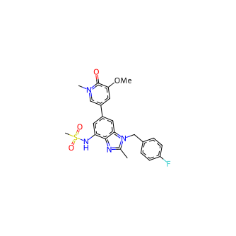 COc1cc(-c2cc(NS(C)(=O)=O)c3nc(C)n(Cc4ccc(F)cc4)c3c2)cn(C)c1=O